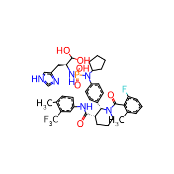 Cc1ccc(NC(=O)[C@H]2CCCN(C(=O)c3c(C)cccc3F)[C@H]2c2ccc(N(C3CCCC3)P(=O)(O)N[C@@H](Cc3c[nH]cn3)C(O)O)cc2)cc1C(F)(F)F